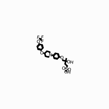 CC(O)(CCS(=O)(=O)O)COc1ccc(N2CCC(Oc3ccc(OC(F)(F)F)cc3)CC2)cc1